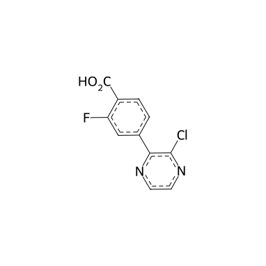 O=C(O)c1ccc(-c2nccnc2Cl)cc1F